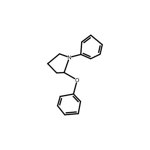 c1ccc(OC2CCCN2c2ccccc2)cc1